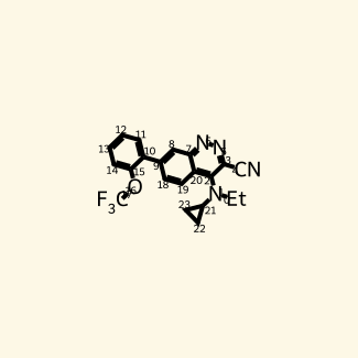 CCN(c1c(C#N)nnc2cc(-c3ccccc3OC(F)(F)F)ccc12)C1CC1